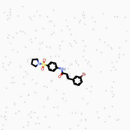 O=C(/C=C/c1cccc(Br)c1)Nc1ccc(S(=O)(=O)N2CCCC2)cc1